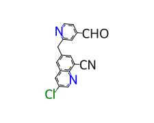 N#Cc1cc(Cc2cc(C=O)ccn2)cc2cc(Cl)cnc12